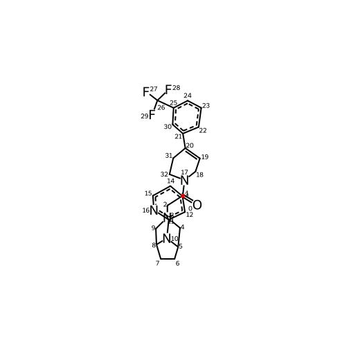 O=C(CN1CC2CCC(C1)N2c1ccccn1)N1CC=C(c2cccc(C(F)(F)F)c2)CC1